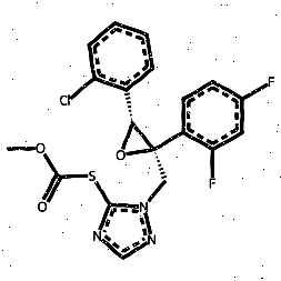 COC(=O)Sc1ncnn1C[C@]1(c2ccc(F)cc2F)O[C@@H]1c1ccccc1Cl